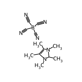 CC1=C(C)N(C)C(C)N1C.N#C[B-](C#N)(C#N)C#N